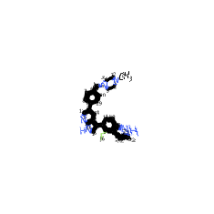 CN1CCN(Cc2ccc(-c3cnc4[nH]cc(-c5ccc6[nH]ccc6c5F)c4c3)cc2)CC1